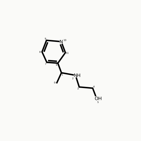 CC(NCCO)c1cccnc1